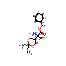 CC1(C)O[CH][C](C(N)(C=S)C(=O)OCc2ccccc2)CO1